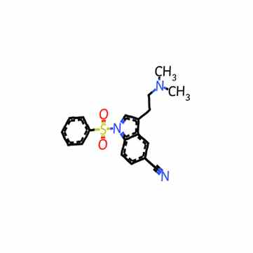 CN(C)CCc1cn(S(=O)(=O)c2ccccc2)c2ccc(C#N)cc12